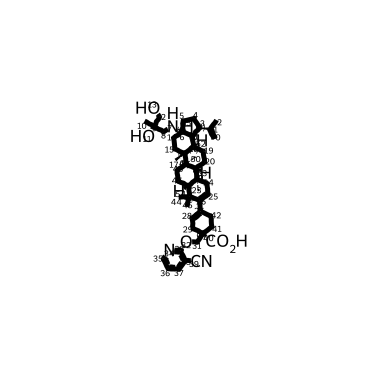 C=C(C)[C@@H]1CC[C@]2(NCC(C)(O)CO)CC[C@]3(C)[C@H](CC[C@@H]4[C@@]5(C)CC=C(C6=CC[C@](COc7ncccc7C#N)(C(=O)O)CC6)C(C)(C)[C@@H]5CC[C@]43C)[C@@H]12